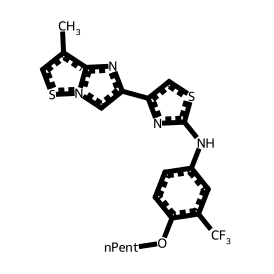 CCCCCOc1ccc(Nc2nc(-c3cn4scc(C)c4n3)cs2)cc1C(F)(F)F